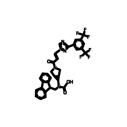 O=C(C=Cn1cnc(-c2cc(C(F)(F)F)cc(C(F)(F)F)c2)n1)N1CC2C(C1)C2N(CC1c2ccccc2-c2ccccc21)C(=O)O